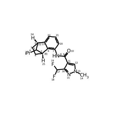 CC(C)C1[C@@H]2CC[C@H]1c1c(NC(=O)c3cn(C)nc3C(F)F)cccc12